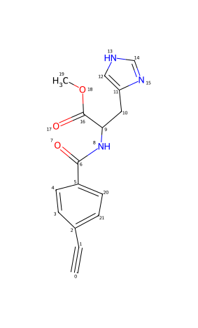 [C]#Cc1ccc(C(=O)NC(Cc2c[nH]cn2)C(=O)OC)cc1